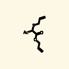 C=CCOC(=O)C(SCC=C)C(C)=O